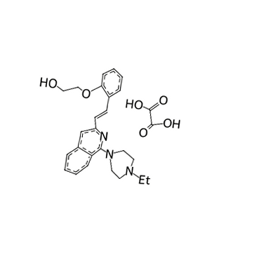 CCN1CCN(c2nc(C=Cc3ccccc3OCCO)cc3ccccc23)CC1.O=C(O)C(=O)O